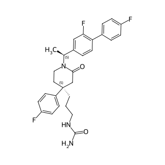 C[C@@H](c1ccc(-c2ccc(F)cc2)c(F)c1)N1CC[C@](CCCNC(N)=O)(c2ccc(F)cc2)CC1=O